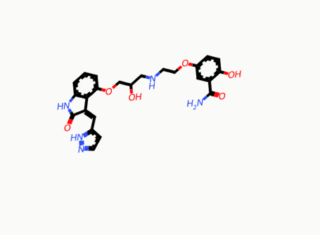 NC(=O)c1cc(OCCNCC(O)COc2cccc3c2C(=Cc2ccn[nH]2)C(=O)N3)ccc1O